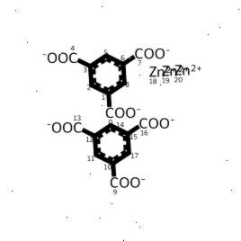 O=C([O-])c1cc(C(=O)[O-])cc(C(=O)[O-])c1.O=C([O-])c1cc(C(=O)[O-])cc(C(=O)[O-])c1.[Zn+2].[Zn+2].[Zn+2]